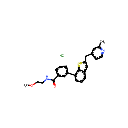 COCCNC(=O)c1cccc(-c2cccc3cc(Cc4ccnc(C)c4)sc23)c1.Cl